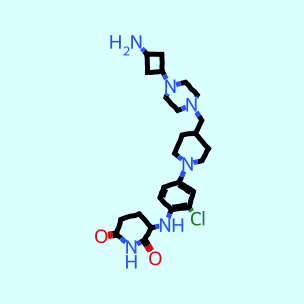 NC1CC(N2CCN(CC3CCN(c4ccc(NC5CCC(=O)NC5=O)c(Cl)c4)CC3)CC2)C1